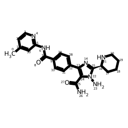 Cc1ccnc(NC(=O)c2ccc(-c3nc([C@@H]4CCCCN4)n(N)c3C(N)=O)cc2)c1